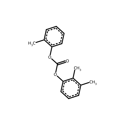 Cc1ccccc1OC(=O)Oc1cccc(C)c1C